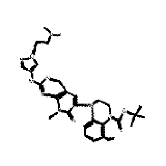 Cc1cccc2c1N(C(=O)OC(C)(C)C)CCN2c1cc2cnc(Nc3cnn(CCN(C)C)c3)nc2n(C)c1=O